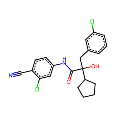 N#Cc1ccc(NC(=O)C(O)(Cc2cccc(Cl)c2)C2CCCC2)cc1Cl